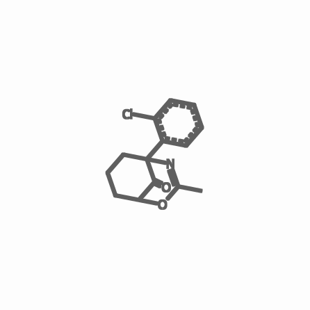 CC1=NC2(c3ccccc3Cl)CCCC(O1)C2=O